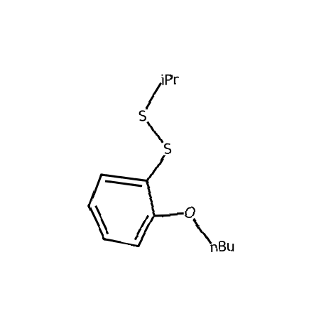 CCCCOc1ccccc1SSC(C)C